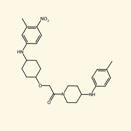 Cc1ccc(NC2CCN(C(=O)COC3CCC(Nc4ccc([N+](=O)[O-])c(C)c4)CC3)CC2)cc1